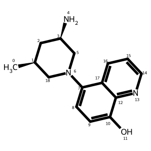 C[C@H]1C[C@@H](N)CN(c2ccc(O)c3ncccc23)C1